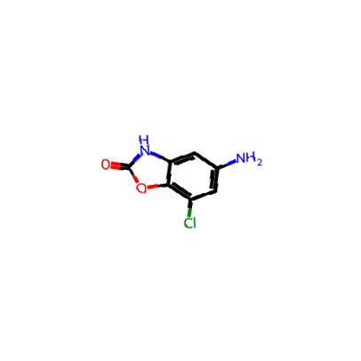 Nc1cc(Cl)c2oc(=O)[nH]c2c1